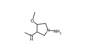 CNC1CN(N)CC1OC